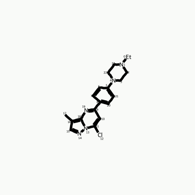 CCN1CCN(c2ccc(-c3cc(Cl)n4ncc(C)c4n3)cc2)CC1